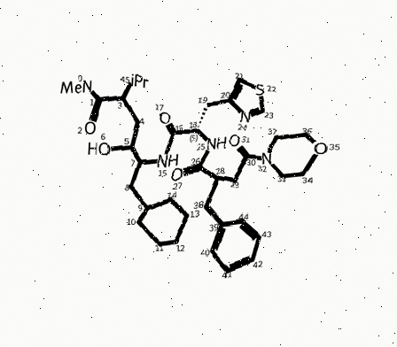 CNC(=O)C(CC(O)C(CC1CCCCC1)NC(=O)[C@H](Cc1cscn1)NC(=O)C(CC(=O)N1CCOCC1)Cc1ccccc1)C(C)C